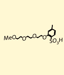 COCCOCCOCCOc1cc(C)ccc1S(=O)(=O)O